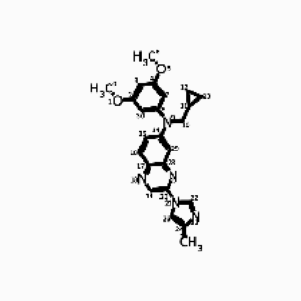 COc1cc(OC)cc(N(CC2CC2)c2ccc3ncc(-n4cnc(C)c4)nc3c2)c1